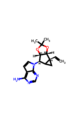 C=C[C@@]12CC1[C@@H](n1ccc3c(N)ncnc31)[C@@H]1OC(C)(C)O[C@@H]12